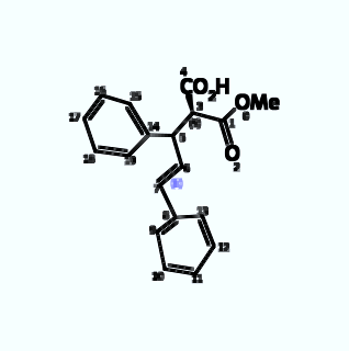 COC(=O)[C@H](C(=O)O)C(/C=C/c1ccccc1)c1ccccc1